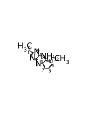 CCc1nc2nc3cccc(CC)c3[nH]c-2n1